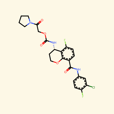 O=C(N[C@H]1CCOc2c(C(=O)Nc3ccc(F)c(Cl)c3)ccc(F)c21)OCC(=O)N1CCCC1